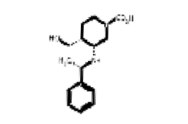 C[C@H](N[C@H]1CN(C(=O)O)CC[C@H]1CO)c1ccccc1